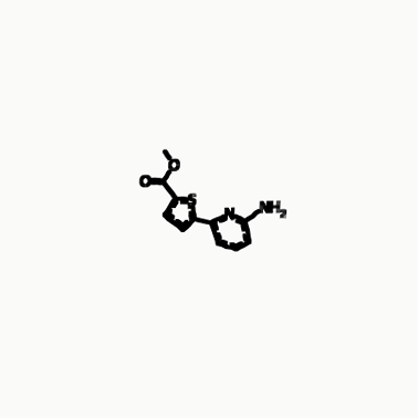 COC(=O)c1ccc(-c2cccc(N)n2)s1